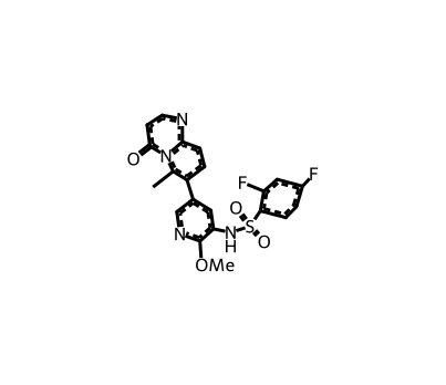 COc1ncc(-c2ccc3nccc(=O)n3c2C)cc1NS(=O)(=O)c1ccc(F)cc1F